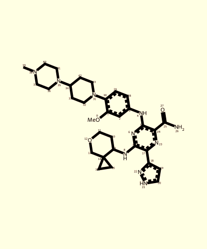 COc1cc(Nc2nc(NC3CCOCC34CC4)c(-c3cc[nH]n3)nc2C(N)=O)ccc1N1CCC(N2CCN(C)CC2)CC1